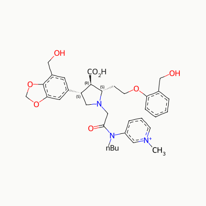 CCCCN(C(=O)CN1C[C@H](c2cc(CO)c3c(c2)OCO3)[C@@H](C(=O)O)[C@@H]1CCOc1ccccc1CO)c1ccc[n+](C)c1